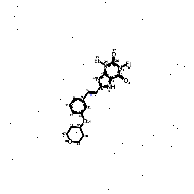 CCn1c(=O)c2[nH]c(/C=C/c3cccc(OC4CCOCC4)c3)nc2n(CC)c1=O